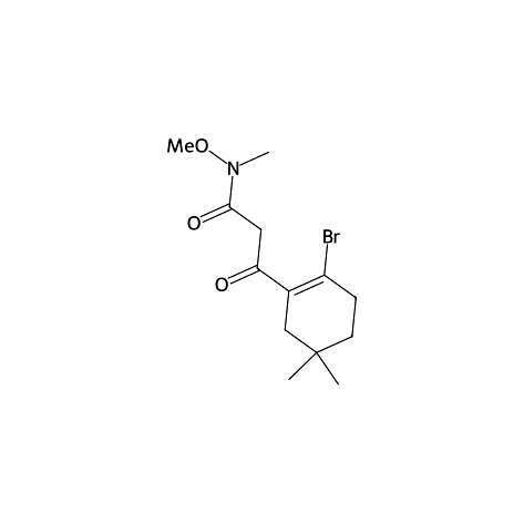 CON(C)C(=O)CC(=O)C1=C(Br)CCC(C)(C)C1